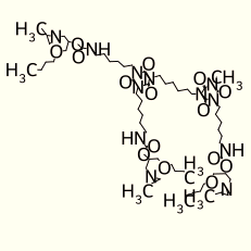 CCCCOCC(CN1CC1C)OC(=O)NCCCCCCn1c(=O)n(C)c(=O)n(CCCCCCn2c(=O)n(CCCCCCNC(=O)OC(COCCCC)CN3CC3C)c(=O)n(CCCCCCNC(=O)OC(COCCCC)CN3CC3C)c2=O)c1=O